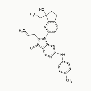 C=CCn1c(=O)c2cnc(Nc3ccc(C)cc3)nc2n1-c1ccc2c(n1)C(O)(CC)CC2